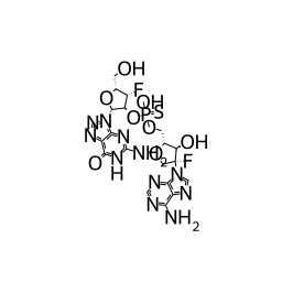 Nc1nc2c(nnn2[C@@H]2O[C@H](CO)[C@H](F)[C@H]2OP(O)(=S)OC[C@H]2OC[C@](F)(n3cnc4c(N)ncnc43)[C@@H]2O)c(=O)[nH]1